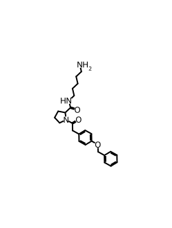 NCCCCCNC(=O)C1CCCN1C(=O)Cc1ccc(OCc2ccccc2)cc1